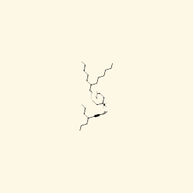 CCCCCCC(CCCCC)CN1CCC(O[C@H](C)C#CC(CCC)CCC)CC1